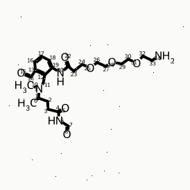 CC(CCC(=O)NC=O)N(C)Cc1c(C=O)cccc1NC(=O)CCOCCOCCOCCN